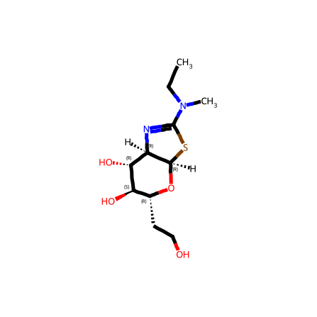 CCN(C)C1=N[C@@H]2[C@@H](O)[C@H](O)[C@@H](CCO)O[C@@H]2S1